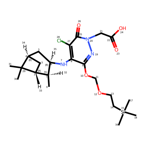 C[C@H]1[C@H]2C[C@H](C[C@H]1Nc1c(OCOCC[Si](C)(C)C)nn(CC(=O)O)c(=O)c1Cl)C2(C)C